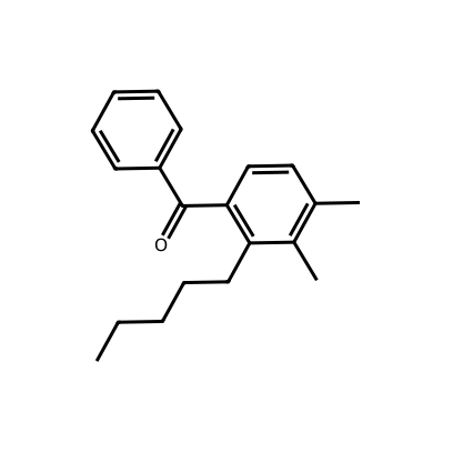 CCCCCc1c(C(=O)c2ccccc2)ccc(C)c1C